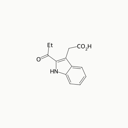 CCC(=O)c1[nH]c2ccccc2c1CC(=O)O